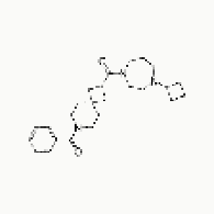 O=C(c1ccccc1)N1CCC2(CC1)CC(C(=O)N1CCCN(C3CCC3)CC1)C2